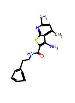 Cc1cc(C)c2c(N)c(C(=O)NCCc3ccccc3)sc2n1